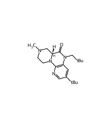 CCC(C)CN1C(=O)[C@H]2CN(C)CCN2c2ncc(C(C)(C)C)cc21